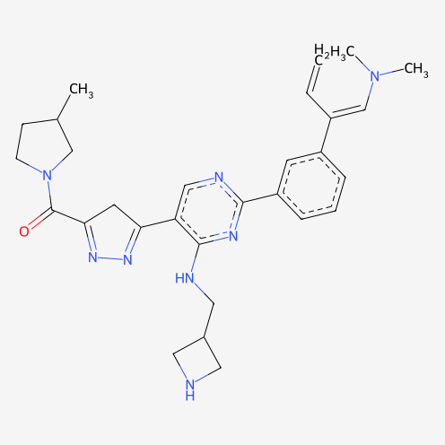 C=C/C(=C\N(C)C)c1cccc(-c2ncc(C3=NN=C(C(=O)N4CCC(C)C4)C3)c(NCC3CNC3)n2)c1